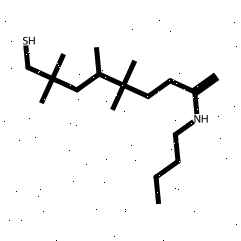 C=C(CCC(C)(C)C(C)CC(C)(C)CS)NCCCC